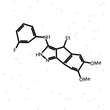 CCC1c2cc(OC)c(OC)cc2-c2n[nH]c(Nc3cccc(F)c3)c21